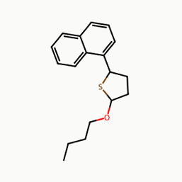 CCCCOC1CCC(c2cccc3ccccc23)S1